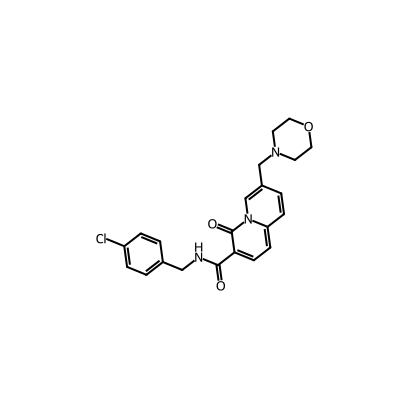 O=C(NCc1ccc(Cl)cc1)c1ccc2ccc(CN3CCOCC3)cn2c1=O